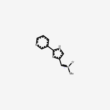 CC(C)(C)/[N+]([O-])=C/c1c[nH]c(-c2cccnc2)n1